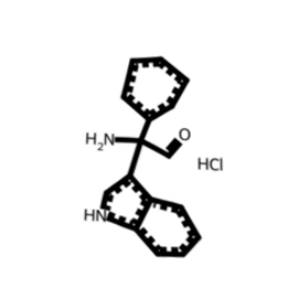 Cl.NC(C=O)(c1ccccc1)c1c[nH]c2ccccc12